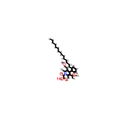 CCCCCCCCCCCCCCCc1cccc(OC)c1C1=C(CCOC)C(C)N(C(=O)C(=O)O)C(C)=C1CC